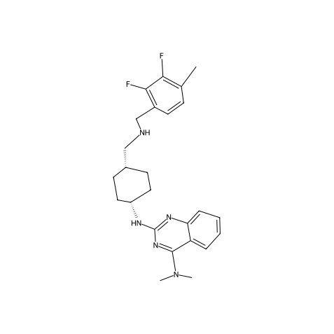 Cc1ccc(CNC[C@H]2CC[C@@H](Nc3nc(N(C)C)c4ccccc4n3)CC2)c(F)c1F